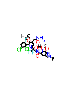 CCOc1c(CC(N)=O)cc([C@@](O)(CNC(=O)c2cc(OC)c3nn(C4CC4)cc3c2)C(F)(F)F)nc1-c1c(F)ccc(Cl)c1Cl